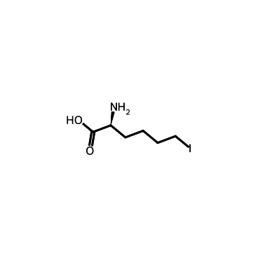 N[C@@H](CCCCI)C(=O)O